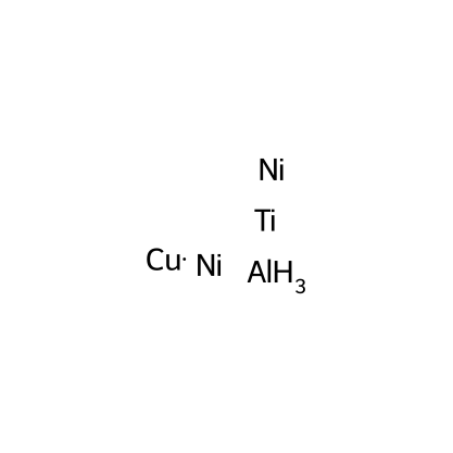 [AlH3].[Cu].[Ni].[Ni].[Ti]